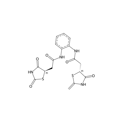 C=C1NC(=O)[C@@H](CC(=O)Nc2ccccc2NC(=O)C[C@H]2SC(=O)NC2=O)S1